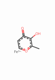 Cc1occc(=O)c1O.[Fe+3]